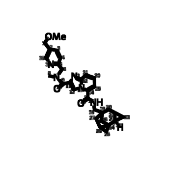 COCc1ccc(CN(C)C(=O)c2cn3c(C(=O)NCC45CC6C[C@@H]6C6(CC6C4)C5)cccc3n2)nc1